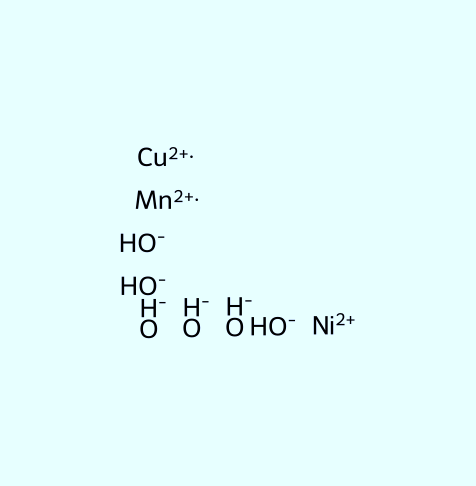 [Cu+2].[Mn+2].[Ni+2].[OH-].[OH-].[OH-].[OH-].[OH-].[OH-]